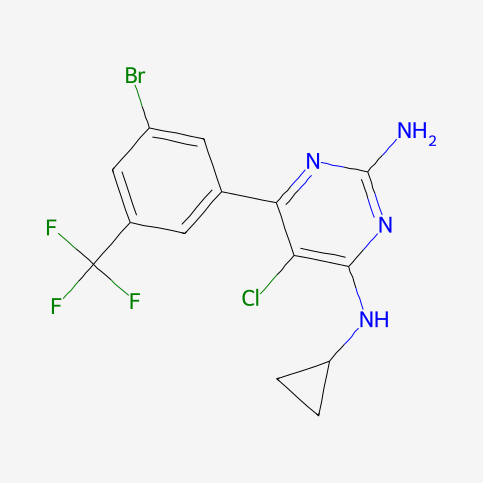 Nc1nc(NC2CC2)c(Cl)c(-c2cc(Br)cc(C(F)(F)F)c2)n1